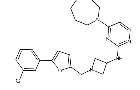 Clc1cccc(-c2ccc(CN3CC(Nc4nccc(N5CCCCCC5)n4)C3)o2)c1